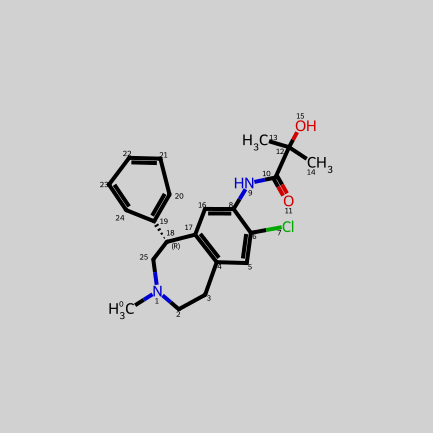 CN1CCc2cc(Cl)c(NC(=O)C(C)(C)O)cc2[C@@H](c2ccccc2)C1